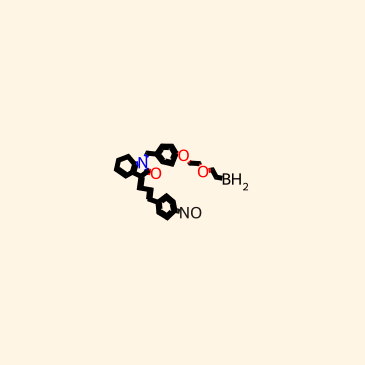 BCCOCCOc1ccc(CN2C(=O)/C(=C\C=C\c3ccc(N=O)cc3)C3=C2CCC=C3)cc1